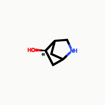 O[C@@H]1CC2CC1CN2